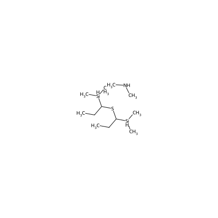 CCC(SC(CC)[SiH](C)C)[SiH](C)C.CNC